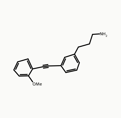 COc1ccccc1C#Cc1cccc(CCCN)c1